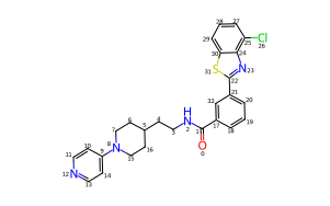 O=C(NCCC1CCN(c2ccncc2)CC1)c1cccc(-c2nc3c(Cl)cccc3s2)c1